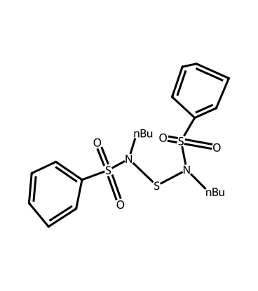 CCCCN(SN(CCCC)S(=O)(=O)c1ccccc1)S(=O)(=O)c1ccccc1